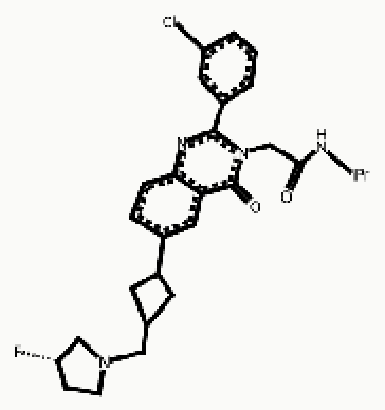 CC(C)NC(=O)Cn1c(-c2cccc(Cl)c2)nc2ccc(C3CC(CN4CC[C@H](F)C4)C3)cc2c1=O